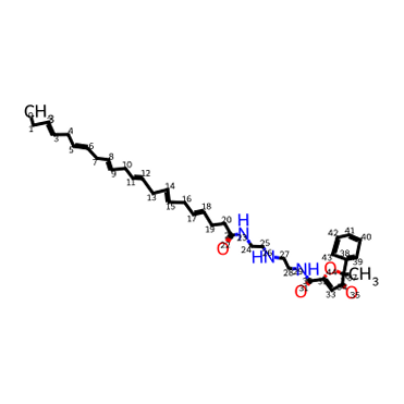 CCC=CCC=CCC=CCC=CCC=CCC=CCCC(=O)NCCNCCNC(=O)C1=CC(=O)C(C)(c2ccccc2)O1